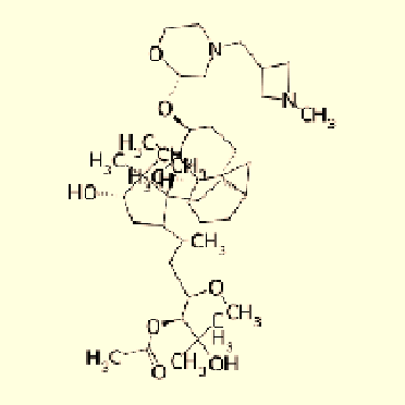 COC(C[C@@H](C)[C@H]1C[C@H](O)C(C)(C)[C@]1(C)CC[C@]12CCC[C@H]3C(C)(C)[C@@H](O[C@H]4CN(CC5CN(C)C5)CCO4)CC[C@@]31C2)[C@H](OC(C)=O)C(C)(C)O